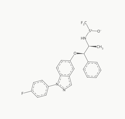 C[C@H](N[S+]([O-])C(F)(F)F)[C@H](Oc1ccc2c(cnn2-c2ccc(F)cc2)c1)c1ccccc1